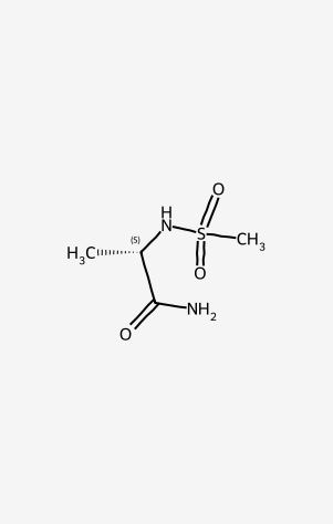 C[C@H](NS(C)(=O)=O)C(N)=O